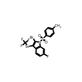 Cc1ccc(S(=O)(=O)n2c(Br)c([Se]C(F)(F)F)c3ccc(F)cc32)cc1